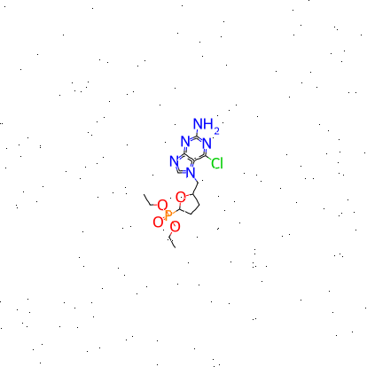 CCOP(=O)(OCC)C1CCC(Cn2cnc3nc(N)nc(Cl)c32)O1